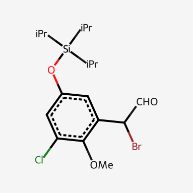 COc1c(Cl)cc(O[Si](C(C)C)(C(C)C)C(C)C)cc1C(Br)C=O